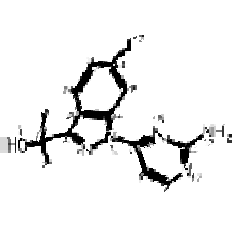 CC(C)(O)c1nn(-c2ccnc(N)n2)c2cc(I)ccc12